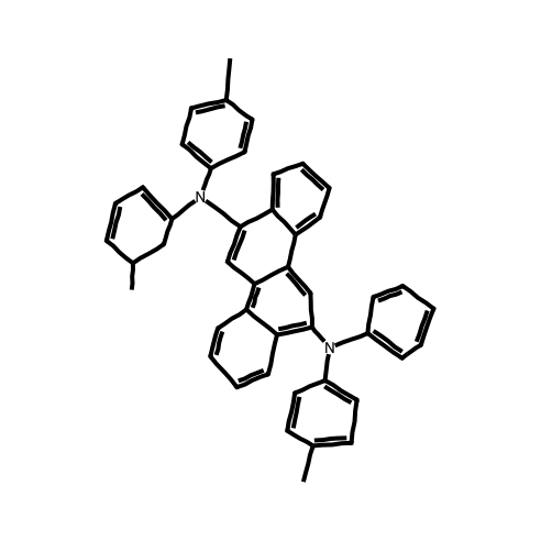 Cc1ccc(N(C2=CC=CC(C)C2)c2cc3c4ccccc4c(N(c4ccccc4)c4ccc(C)cc4)cc3c3ccccc23)cc1